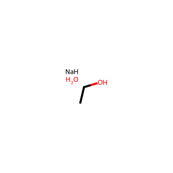 CCO.O.[NaH]